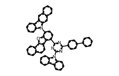 c1ccc(-c2ccc(-c3nc(-c4ccc(-n5c6ccccc6c6cc7ccccc7cc65)c5oc6c7ccccc7ccc6c45)nc(-n4c5ccccc5c5ccccc54)n3)cc2)cc1